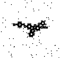 COc1ccc(C2(Cc3ccncc3)C(=O)c3ccc(OCc4ccc(Br)cc4)cc3C2=O)cc1OC1CCCC1